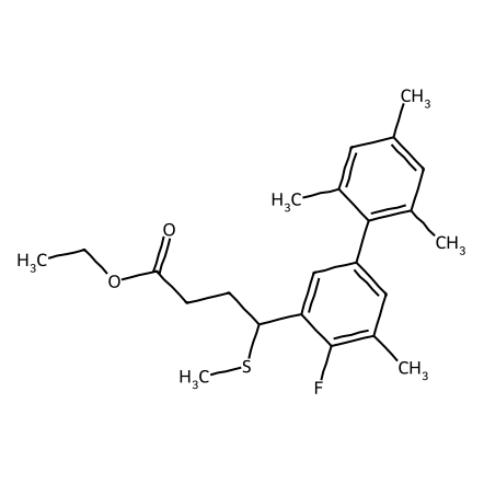 CCOC(=O)CCC(SC)c1cc(-c2c(C)cc(C)cc2C)cc(C)c1F